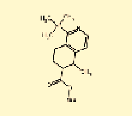 CC1c2ccn[c]([Sn]([CH3])([CH3])[CH3])c2CCN1C(=O)OC(C)(C)C